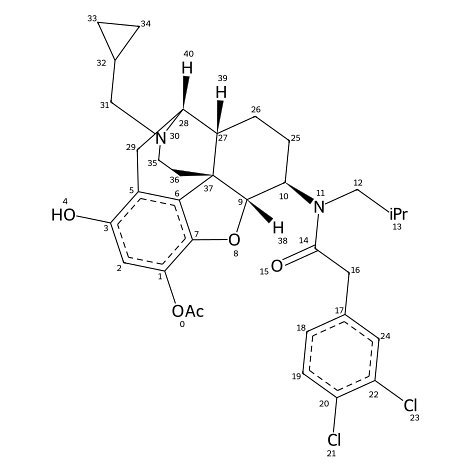 CC(=O)Oc1cc(O)c2c3c1O[C@H]1[C@H](N(CC(C)C)C(=O)Cc4ccc(Cl)c(Cl)c4)CC[C@H]4[C@@H](C2)N(CC2CC2)CC[C@@]341